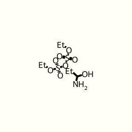 CCC(N)O.CCOS(=O)(=O)OS(=O)(=O)OCC